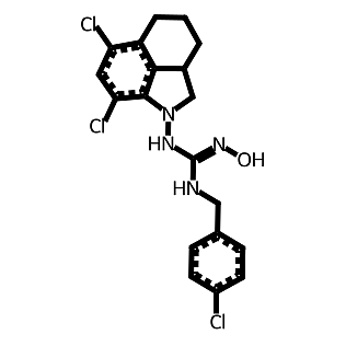 ON=C(NCc1ccc(Cl)cc1)NN1CC2CCCc3c(Cl)cc(Cl)c1c32